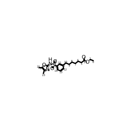 CCOC(=O)CCCCCCc1cccc(S(=O)(=O)Nc2nc(C)c(C)o2)c1